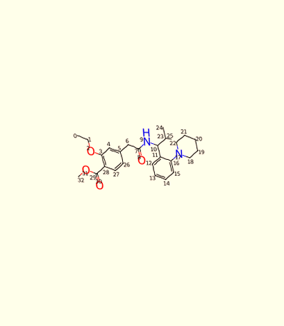 CCOc1cc(CC(=O)NC(c2ccccc2N2CCCCC2)C(C)C)ccc1C(=O)OC